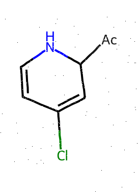 CC(=O)C1C=C(Cl)C=CN1